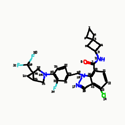 O=C(NC1CC2(CCC2)C1)c1ccc(Cl)c2cnn(Cc3ccc(N4CC5CC5(C(F)F)C4)c(F)c3)c12